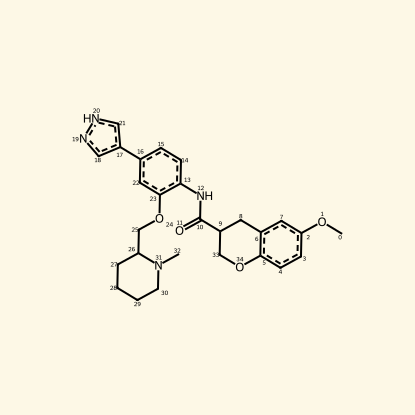 COc1ccc2c(c1)CC(C(=O)Nc1ccc(-c3cn[nH]c3)cc1OCC1CCCCN1C)CO2